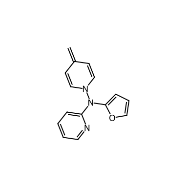 C=C1C=CN(N(c2ccccn2)c2ccco2)C=C1